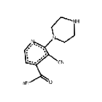 CCCC(=O)c1ccnc(N2CCNCC2)c1C#N